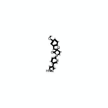 COc1ccc2c(c1)CC1(CCN(c3ccc(-c4cn[nH]c4)cn3)C1=O)O2